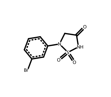 O=C1CN(c2cccc(Br)c2)S(=O)(=O)N1